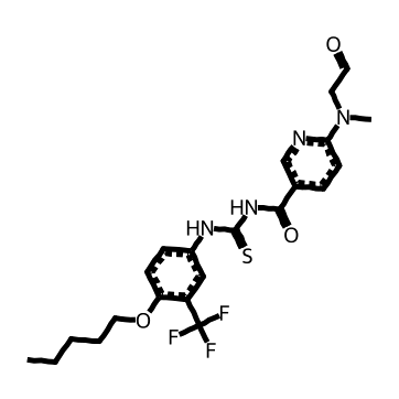 CCCCCOc1ccc(NC(=S)NC(=O)c2ccc(N(C)CC=O)nc2)cc1C(F)(F)F